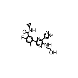 Cc1cc(F)c(C(=O)NC2CC2)cc1-c1cnc(NCCO)c(-c2cnn(C)c2)n1